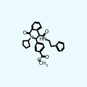 COC(=O)c1ccc(C2C(C(=O)NCCc3ccccc3)c3ccccc3C(=O)N2C2CCCC2)cc1